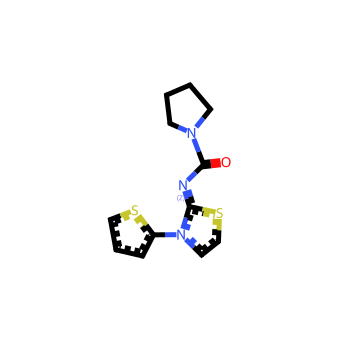 O=C(/N=c1\sccn1-c1cccs1)N1CCCC1